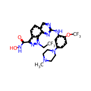 CN1CCN(c2ccc(OC(F)(F)F)c(Nc3ncc4ccc5c(C(=O)NO)nn(CC(F)(F)F)c5c4n3)c2)CC1